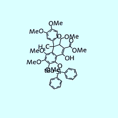 COC(=O)C1=C(O)c2c(O[Si](c3ccccc3)(c3ccccc3)C(C)(C)C)c(OC)c(OC)c(OC)c2C(C)(c2ccc(OC)c(OC)c2)C1C(=O)OC